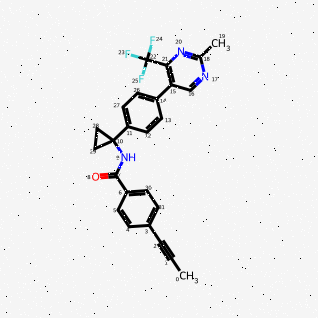 CC#Cc1ccc(C(=O)NC2(c3ccc(-c4cnc(C)nc4C(F)(F)F)cc3)CC2)cc1